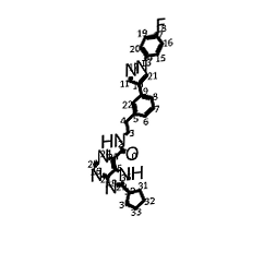 O=C(NCCc1cccc(-c2cnn(-c3ccc(F)cc3)c2)c1)c1ncnc2nc(C3CCCC3)[nH]c12